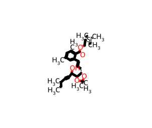 CC[C@H](C)C#CC(O)C1OC(C)(C)O[C@H]1C/C=C/c1cc(C)cc(C)c1C(=O)OCC[Si](C)(C)C